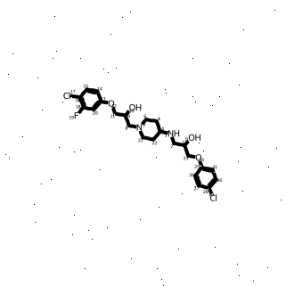 OC(CNC1CCN(CC(O)COc2ccc(Cl)c(F)c2)CC1)COc1ccc(Cl)cc1